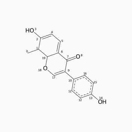 CC1C(O)=CC=C2C(=O)C(c3ccc(O)cc3)=COC21